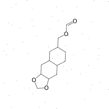 O=COCC1CCC2CC3OCOC3CC2C1